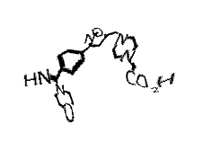 N=C(c1ccc(C2=NOC(CN3CCN(CC(=O)O)CC3)C2)cc1)N1CCOCC1